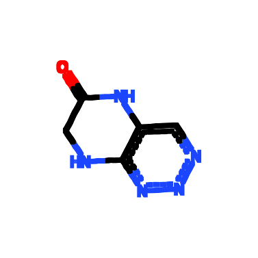 O=C1CNc2nnncc2N1